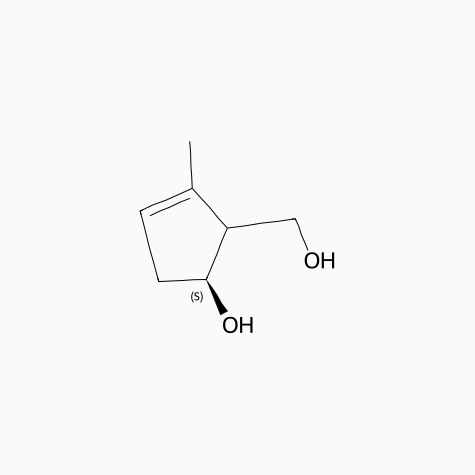 CC1=CC[C@H](O)C1CO